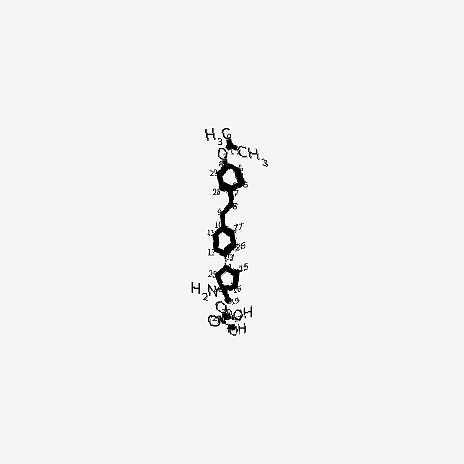 CC(C)Oc1ccc(CCc2ccc([C@@H]3CC[C@@](N)(COP(=O)(O)O)C3)cc2)cc1